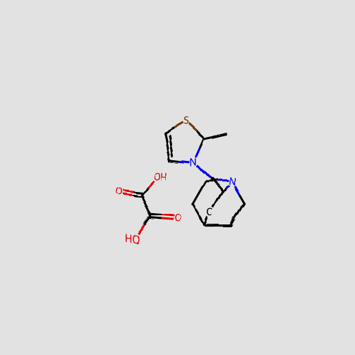 CC1SC=CN1C1CC2CCN1CC2.O=C(O)C(=O)O